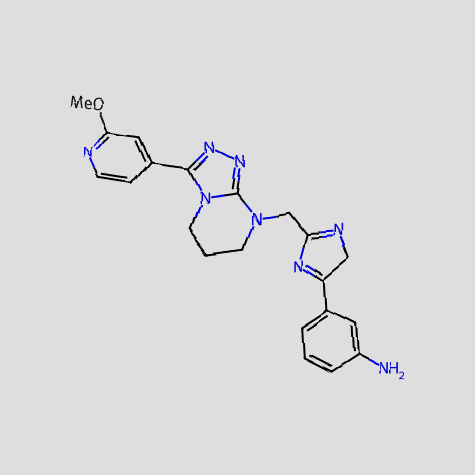 COc1cc(-c2nnc3n2CCCN3CC2=NCC(c3cccc(N)c3)=N2)ccn1